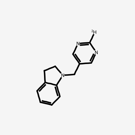 [2H]c1ncc(CN2CCc3ccccc32)cn1